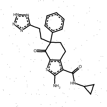 Nc1sc2c(c1C(=O)NC1CC1)CCC(CCc1nn[nH]n1)(c1ccccc1)C2=O